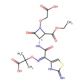 CCOC(=O)C1[C@H](NC(=O)C(=NOC(C)(C)C(=O)O)c2csc(=N)[nH]2)C(=O)N1OCC(=O)O